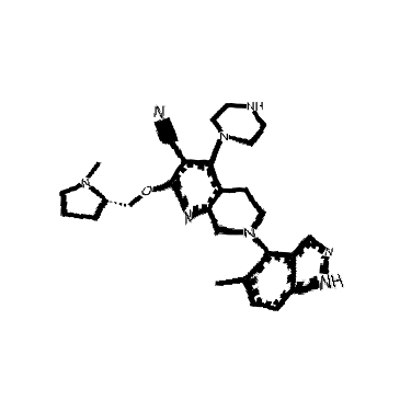 Cc1ccc2[nH]ncc2c1N1CCc2c(nc(OC[C@@H]3CCCN3C)c(C#N)c2N2CCNCC2)C1